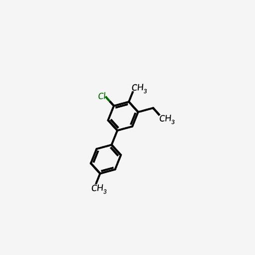 CCc1cc(-c2ccc(C)cc2)cc(Cl)c1C